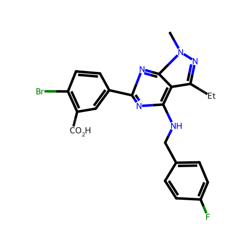 CCc1nn(C)c2nc(-c3ccc(Br)c(C(=O)O)c3)nc(NCc3ccc(F)cc3)c12